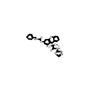 CC(C)(C(=O)Nc1nncs1)[C@H]1c2ccccc2Oc2cc(OC(=O)NCc3ccccc3)ccc21